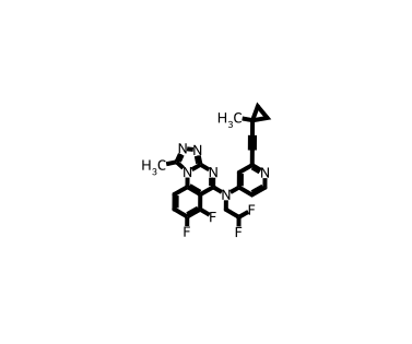 Cc1nnc2nc(N(CC(F)F)c3ccnc(C#CC4(C)CC4)c3)c3c(F)c(F)ccc3n12